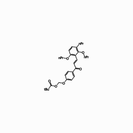 CCCOc1ccc(CCC)c(OCCC)c1C=CC(=O)c1ccc(OCOC(=O)C(C)(C)C)cc1